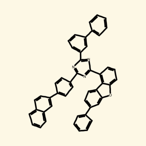 c1ccc(-c2cccc(-c3nc(-c4ccc(-c5ccc6ccccc6c5)cc4)nc(-c4cccc5oc6cc(-c7ccccc7)ccc6c45)n3)c2)cc1